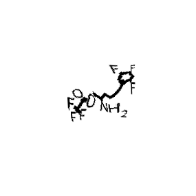 NC(CCc1cc(F)c(F)cc1F)COC(=O)C(F)(F)F